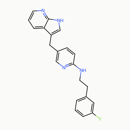 Fc1cccc(CCNc2ccc(Cc3c[nH]c4ncccc34)cn2)c1